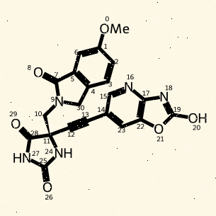 COc1ccc2c(c1)C(=O)N(C[C@@]1(C#Cc3cnc4nc(O)oc4c3)NC(=O)NC1=O)C2